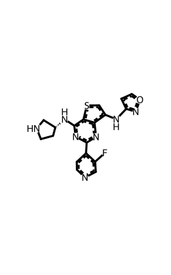 Fc1cnccc1-c1nc(N[C@@H]2CCNC2)c2scc(Nc3ccon3)c2n1